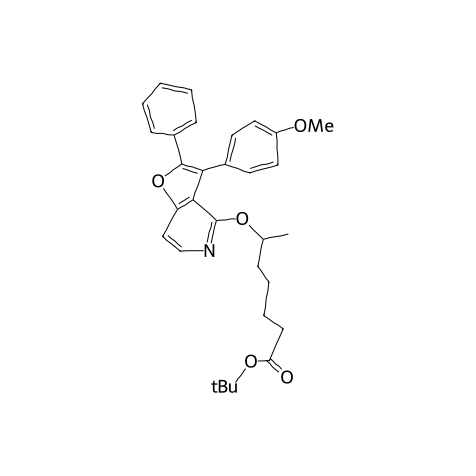 COc1ccc(-c2c(-c3ccccc3)oc3ccnc(OC(C)CCCCC(=O)OC(C)(C)C)c23)cc1